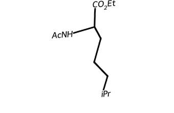 CCOC(=O)C(CCCC(C)C)NC(C)=O